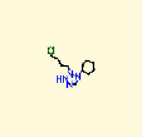 ClCCCCN1NN=CN1C1CCCCC1